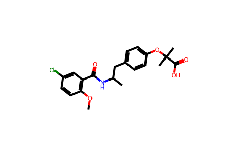 COc1ccc(Cl)cc1C(=O)NC(C)Cc1ccc(OC(C)(C)C(=O)O)cc1